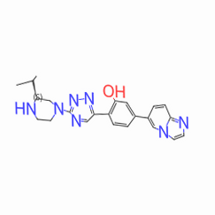 CC(C)[C@H]1CN(c2ncc(-c3ccc(-c4ccc5nccn5c4)cc3O)nn2)CCN1